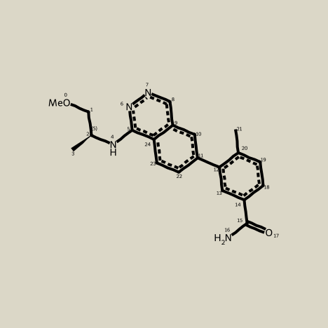 COC[C@H](C)Nc1nncc2cc(-c3cc(C(N)=O)ccc3C)ccc12